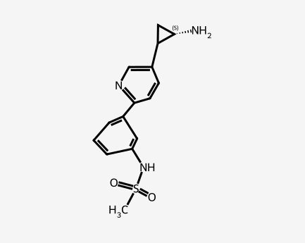 CS(=O)(=O)Nc1cccc(-c2ccc(C3C[C@@H]3N)cn2)c1